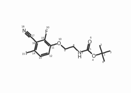 CC(C)(C)OC(=O)NCCOc1ccc(I)c(C#N)c1F